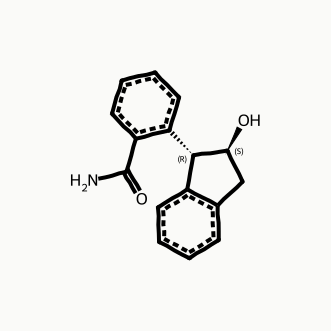 NC(=O)c1ccccc1[C@H]1c2ccccc2C[C@@H]1O